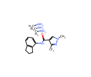 CN.CN.CN.Cn1cc(C(=O)Nc2cccc3c2CCC3)c(C(F)(F)F)n1